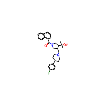 CC(C)(O)C1CN(C(=O)c2cccc3ccccc23)CC1CN1CCC(c2ccc(F)cc2)CC1